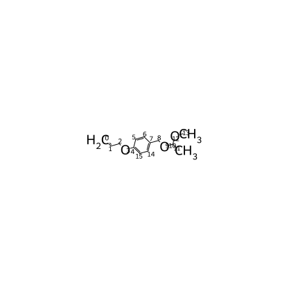 C=CCOc1ccc(COC(C)OC)cc1